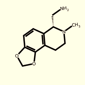 CN1CCc2c(ccc3c2OCO3)[C@@H]1CN